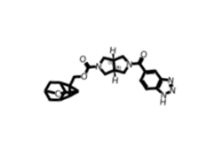 O=C(OCC12C3CC4CC(C3)C1C2C4)N1C[C@@H]2CN(C(=O)c3ccc4[nH]nnc4c3)C[C@@H]2C1